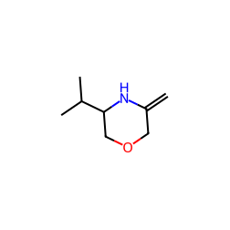 C=C1COCC(C(C)C)N1